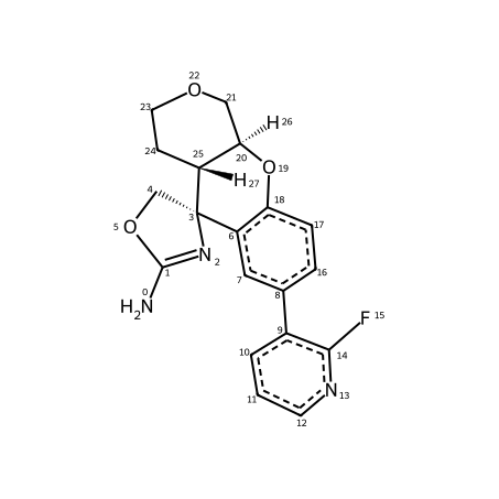 NC1=N[C@]2(CO1)c1cc(-c3cccnc3F)ccc1O[C@@H]1COCC[C@H]12